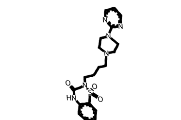 O=C1Nc2ccccc2S(=O)(=O)N1CCCCN1CCN(c2ncccn2)CC1